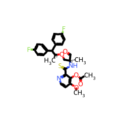 COc1ccnc(C(=S)N[C@](C)(C=O)CO[C@@H](C)C(c2ccc(F)cc2)c2ccc(F)cc2)c1OC(C)=O